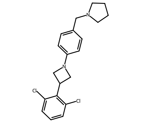 Clc1cccc(Cl)c1C1CN(c2ccc(CN3CCCC3)cc2)C1